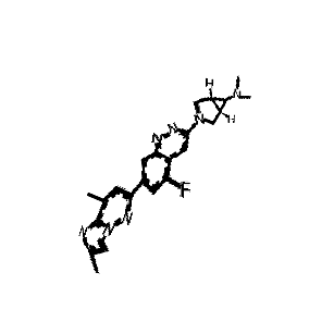 Cc1cn2nc(-c3cc(F)c4cc(N5C[C@@H]6C(N(C)C)[C@@H]6C5)nnc4c3)cc(C)c2n1